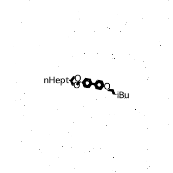 CCCCCCC[C@H]1CO[C@H](c2ccc(-c3ccc(OCCC[C@@H](C)CC)cc3)cc2)OC1